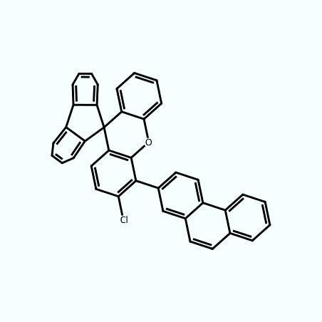 Clc1ccc2c(c1-c1ccc3c(ccc4ccccc43)c1)Oc1ccccc1C21c2ccccc2-c2ccccc21